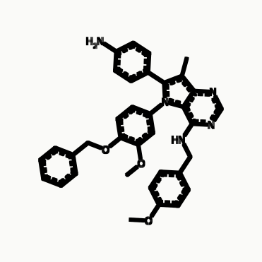 COc1ccc(CNc2ncnc3c(C)c(-c4ccc(N)cc4)n(-c4ccc(OCc5ccccc5)c(OC)c4)c23)cc1